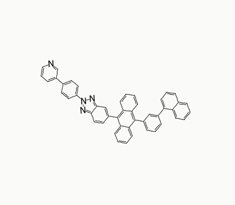 c1cncc(-c2ccc(-n3nc4ccc(-c5c6ccccc6c(-c6cccc(-c7cccc8ccccc78)c6)c6ccccc56)cc4n3)cc2)c1